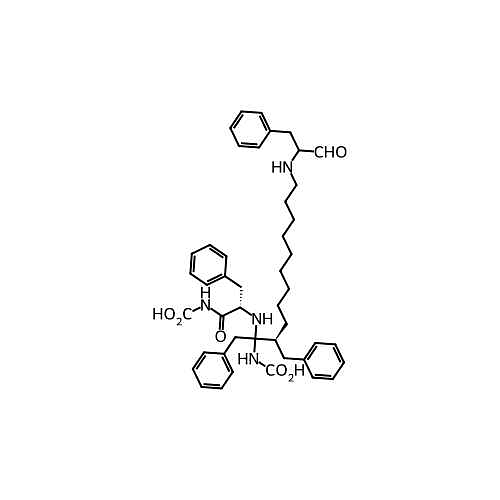 O=CC(Cc1ccccc1)NCCCCCCCCC[C@@H](Cc1ccccc1)C(Cc1ccccc1)(NC(=O)O)N[C@@H](Cc1ccccc1)C(=O)NC(=O)O